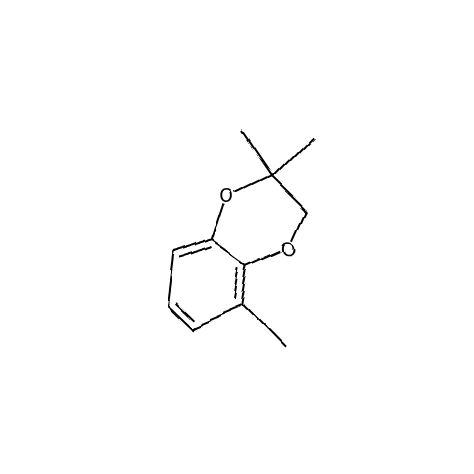 Cc1cccc2c1OCC(C)(C)O2